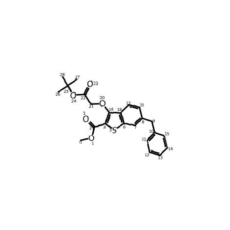 COC(=O)c1sc2cc(Cc3ccccc3)ccc2c1OCC(=O)OC(C)(C)C